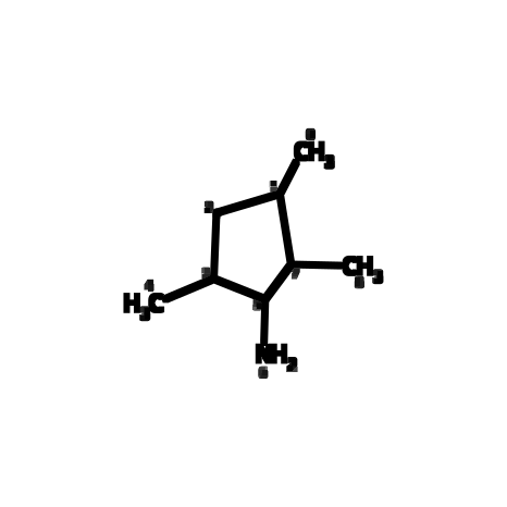 CC1CC(C)C(N)C1C